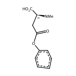 CN[C@@H](CC(=O)Oc1ccccc1)C(=O)O